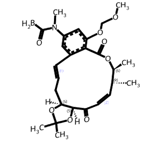 BC(=O)N(C)c1cc2c(c(OCOC)c1)C(=O)O[C@@H](C)[C@H](C)/C=C\C(=O)[C@H]1OC(C)(C)O[C@H]1C/C=C/2